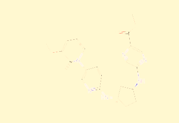 COC(=O)c1cnc(N[C@H]2CC[C@H](Nc3ccc(-n4cccc(OC)c4=O)cn3)C2)cn1